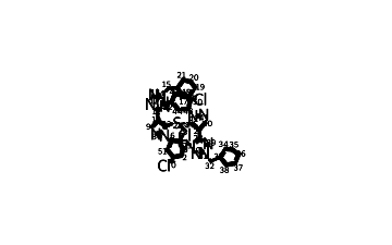 Clc1ccc(Cl)c(-n2ncc(-c3nnn(Cc4ccccc4)n3)c2SSc2c(-c3nnn(Cc4ccccc4)n3)cnn2-c2cc(Cl)ccc2Cl)c1